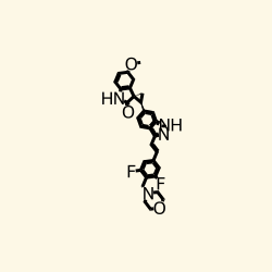 COC1C=CC2=C(C1)[C@]1(C[C@H]1c1ccc3c(/C=C/c4cc(F)c(CN5CCOCC5)c(F)c4)n[nH]c3c1)C(=O)N2